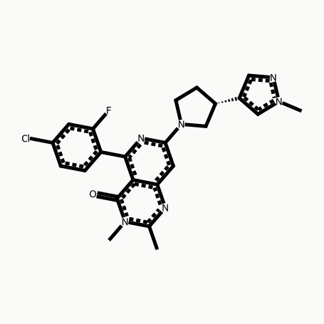 Cc1nc2cc(N3CC[C@H](c4cnn(C)c4)C3)nc(-c3ccc(Cl)cc3F)c2c(=O)n1C